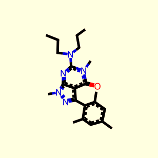 CCCN(CCC)c1nc2c(c(-c3c(C)cc(C)cc3C)nn2C)c(=O)n1C